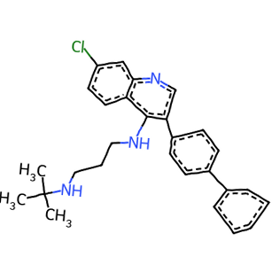 CC(C)(C)NCCCNc1c(-c2ccc(-c3ccccc3)cc2)cnc2cc(Cl)ccc12